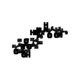 Cc1cc(CC(=O)Nc2cc([C@H]3CC[C@@H](OC(=O)N4[C@@H](C)COCC4(C)O)C3)[nH]n2)on1